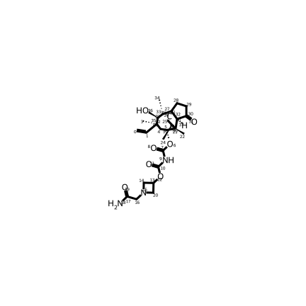 C=C[C@]1(C)C[C@@H](OC(=O)NC(=O)OC2CN(CC(N)=O)C2)[C@]2(C)[C@H](C)CC[C@]3(CCC(=O)[C@H]32)[C@@H](C)[C@@H]1O